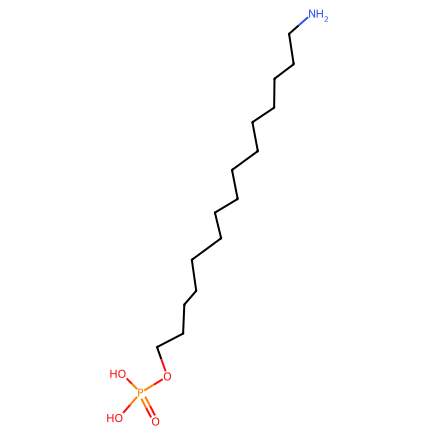 NCCCCCCCCCCCCCCCOP(=O)(O)O